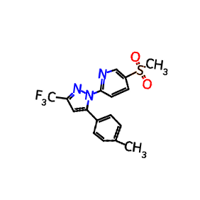 Cc1ccc(-c2cc(C(F)(F)F)nn2-c2ccc(S(C)(=O)=O)cn2)cc1